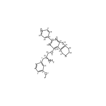 COc1cccc(C[C@H](N)COc2nc(-c3ccncc3)nc3sc4c(c23)CCCC4)c1